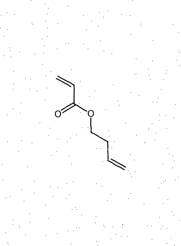 C=CCCOC(=O)C=C